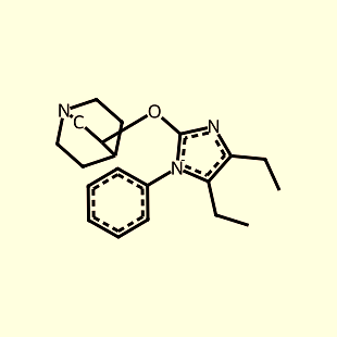 CCc1nc(OC2CN3CCC2CC3)n(-c2ccccc2)c1CC